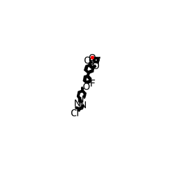 O=S1(=O)c2ccc(-c3ccc(OCC4CCN(c5ncc(Cl)cn5)CC4)c(F)c3)cc2OC12CCC2